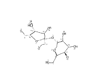 OCC1O[C@H](O[C@@]2(CCl)O[C@H](CCl)[C@H](O)C2O)C(O)C(O)[C@H]1Cl